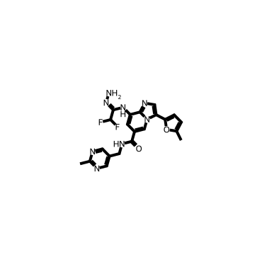 Cc1ncc(CNC(=O)c2cc(N/C(=N\N)C(F)F)c3ncc(-c4ccc(C)o4)n3c2)cn1